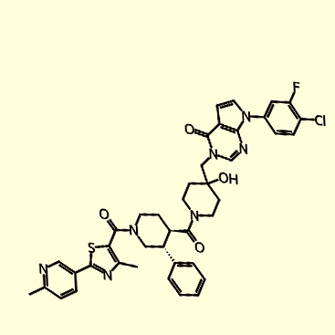 Cc1ccc(-c2nc(C)c(C(=O)N3CC[C@@H](C(=O)N4CCC(O)(Cn5cnc6c(ccn6-c6ccc(Cl)c(F)c6)c5=O)CC4)[C@H](c4ccccc4)C3)s2)cn1